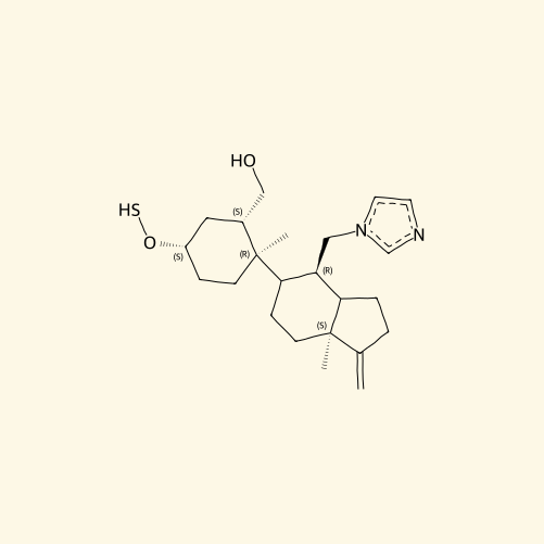 C=C1CCC2[C@H](Cn3ccnc3)C([C@@]3(C)CC[C@H](OS)C[C@@H]3CO)CC[C@]12C